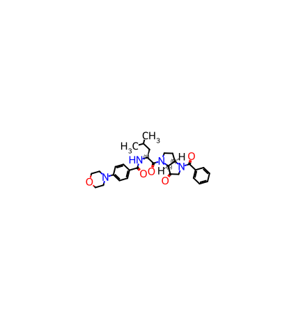 CC(C)C[C@H](NC(=O)c1ccc(N2CCOCC2)cc1)C(=O)N1CC[C@@H]2[C@H]1C(=O)CN2C(=O)c1ccccc1